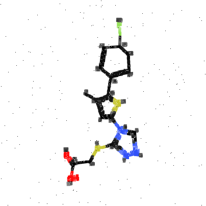 Cc1cc(-n2cnnc2SCC(=O)O)sc1C1=CCC(F)C=C1